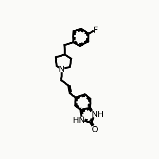 O=c1[nH]c2ccc(C=CCN3CCC(Cc4ccc(F)cc4)CC3)cc2[nH]1